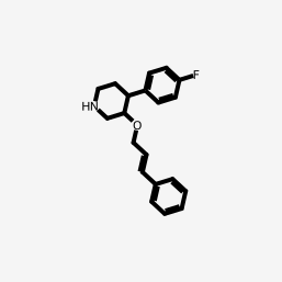 Fc1ccc(C2CCNCC2OCC=Cc2ccccc2)cc1